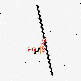 CCCCCCCCCCCCCCCCOCC(CCCCCCCCCCCCCC)O[PH](=O)CCC(C)O